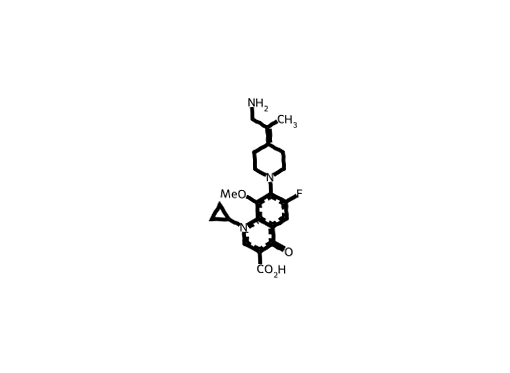 COc1c(N2CCC(=C(C)CN)CC2)c(F)cc2c(=O)c(C(=O)O)cn(C3CC3)c12